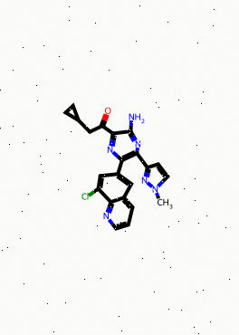 Cn1ccc(-c2nc(N)c(C(=O)CC3CC3)nc2-c2cc(Cl)c3ncccc3c2)n1